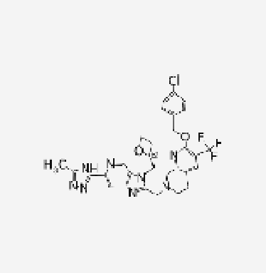 Cc1nnc(-c2cc3nc(CN4CCc5cc(C(F)(F)F)c(OCc6ccc(Cl)cc6)nc5C4)n(C[C@@H]4CCO4)c3cn2)[nH]1